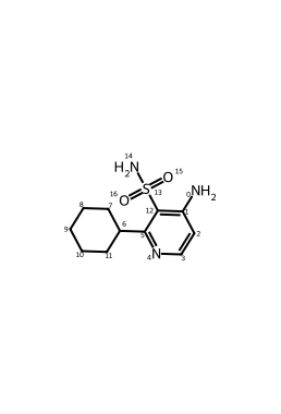 Nc1ccnc(C2CCCCC2)c1S(N)(=O)=O